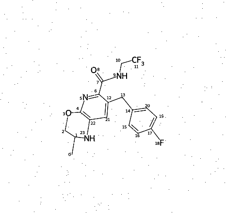 CC1COc2nc(C(=O)NCC(F)(F)F)c(Cc3ccc(F)cc3)cc2N1